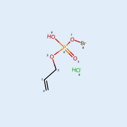 C=CCOP(=O)(O)OBr.Cl